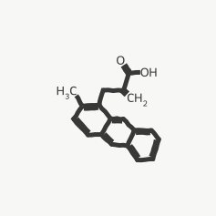 C=C(Cc1c(C)ccc2cc3ccccc3cc12)C(=O)O